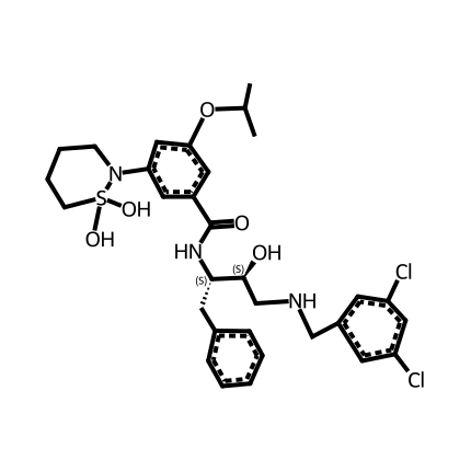 CC(C)Oc1cc(C(=O)N[C@@H](Cc2ccccc2)[C@@H](O)CNCc2cc(Cl)cc(Cl)c2)cc(N2CCCCS2(O)O)c1